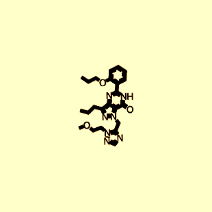 CCCOc1ccccc1-c1nc2c(CCC)nn(Cc3ncnn3CCOC)c2c(=O)[nH]1